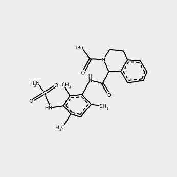 Cc1cc(C)c(NS(N)(=O)=O)c(C)c1NC(=O)C1c2ccccc2CCN1C(=O)C(C)(C)C